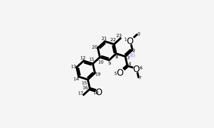 CO/C=C(/C(=O)OC)c1cc(-c2cccc(C(C)=O)c2)ccc1C